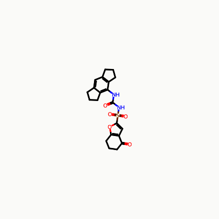 O=C(Nc1c2c(cc3c1CCC3)CCC2)NS(=O)(=O)c1cc2c(o1)CCCC2=O